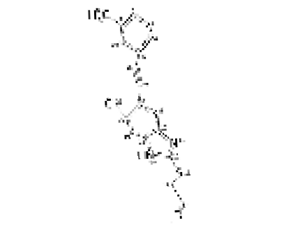 Cc1cccc(C#Cc2cc3nc(SCC=O)[nH]c3cc2Cl)c1